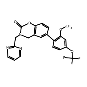 COc1cc(OC(F)(F)F)ccc1-c1ccc2c(c1)CN(Cc1ncccn1)C(=O)O2